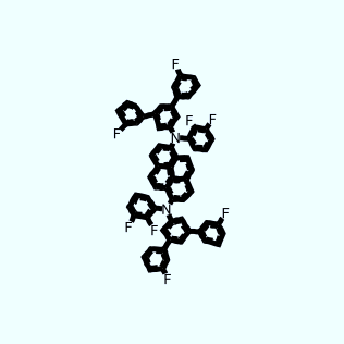 Fc1cccc(-c2cc(-c3cccc(F)c3)cc(N(c3cccc(F)c3F)c3ccc4ccc5c(N(c6cc(-c7cccc(F)c7)cc(-c7cccc(F)c7)c6)c6cccc(F)c6F)ccc6ccc3c4c65)c2)c1